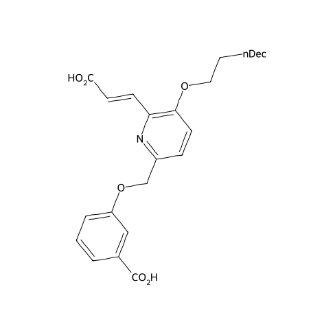 CCCCCCCCCCCCOc1ccc(COc2cccc(C(=O)O)c2)nc1C=CC(=O)O